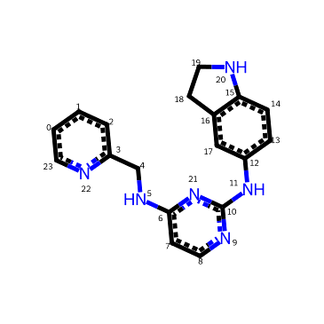 c1ccc(CNc2ccnc(Nc3ccc4c(c3)CCN4)n2)nc1